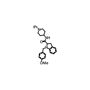 COc1ccc(CN2c3ccccc3CC2C(=O)NC2CCN(C(C)C)CC2)cc1